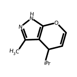 Cc1n[nH]c2c1C(C(C)C)C=CO2